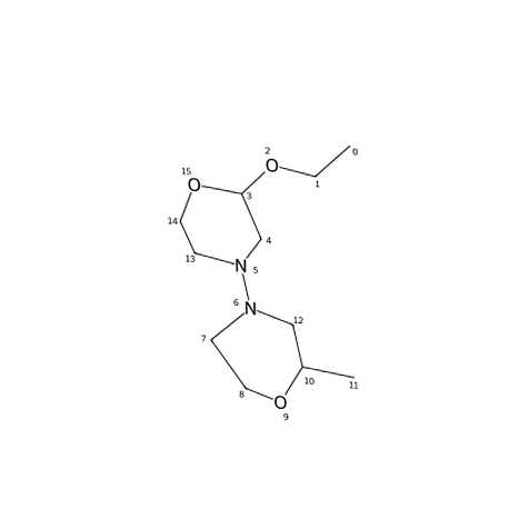 CCOC1CN(N2CCOC(C)C2)CCO1